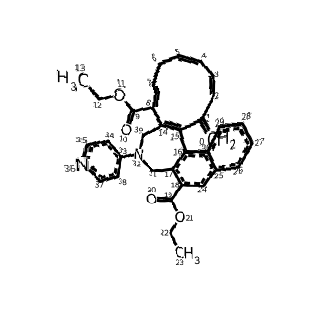 C=C1/C=C\C=C/C/C=C(/C(=O)OCC)C2=C1c1c(c(C(=O)OCC)cc3ccccc13)CN(c1ccncc1)C2